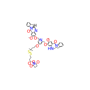 COc1cc2c(cc1OCc1cc(OCCCC(C)(C)SSCCCC(=O)ON3C(=O)CCC3=O)cc(COc3cc4c(cc3OC)C(=O)N3c5ccccc5CC3CN4)n1)N=C[C@@H]1Cc3ccccc3N1C2=O